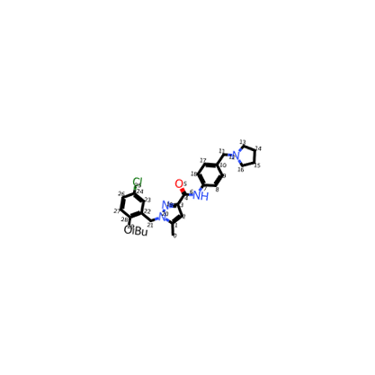 Cc1cc(C(=O)Nc2ccc(CN3CCCC3)cc2)nn1Cc1cc(Cl)ccc1OCC(C)C